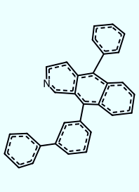 c1ccc(-c2cccc(-c3c4ccccc4c(-c4ccccc4)c4ccncc34)c2)cc1